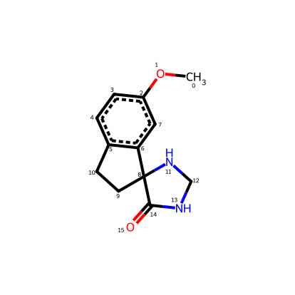 COc1ccc2c(c1)C1(CC2)NCNC1=O